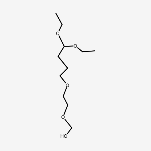 CCOC(CCCOCCOCO)OCC